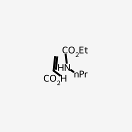 C=CC(=O)O.CCCNC(=O)OCC